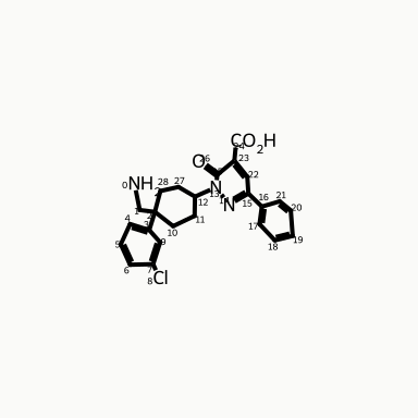 NCC1(c2cccc(Cl)c2)CCC(n2nc(-c3ccccc3)cc(C(=O)O)c2=O)CC1